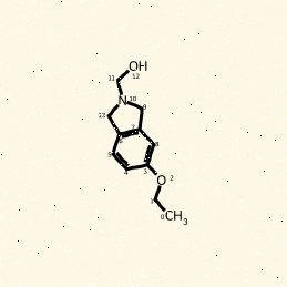 CCOc1ccc2c(c1)CN(CO)C2